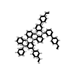 C=Cc1ccc(-c2cccc(B3c4cc(-c5ccc(C=C)cc5)ccc4N4c5cccc6c5B(c5cccc3c54)c3cc(-c4ccc(C=C)cc4)cc4c3N6c3ccccc3B4c3ccccc3)c2)cc1